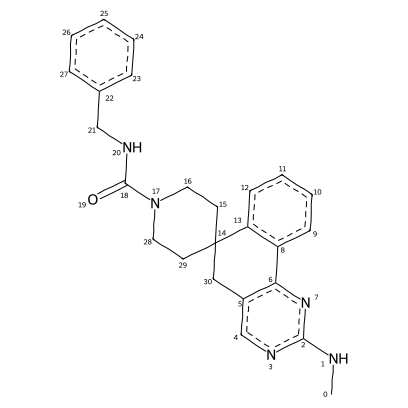 CNc1ncc2c(n1)-c1ccccc1C1(CCN(C(=O)NCc3ccccc3)CC1)C2